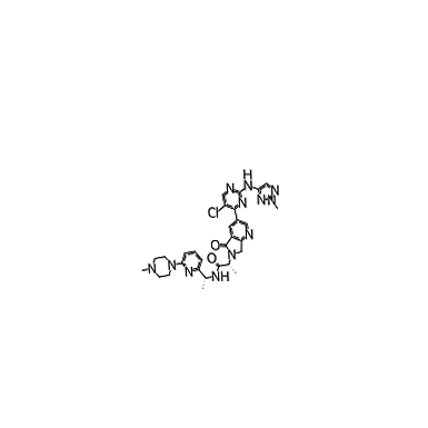 C[C@H](C(=O)N[C@H](C)c1cccc(N2CCN(C)CC2)n1)N1Cc2ncc(-c3nc(Nc4cnn(C)n4)ncc3Cl)cc2C1=O